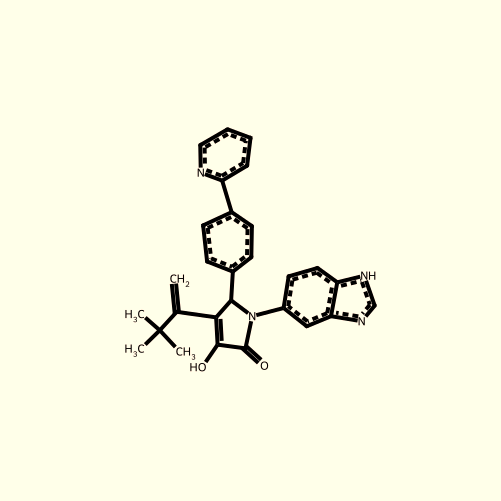 C=C(C1=C(O)C(=O)N(c2ccc3[nH]cnc3c2)C1c1ccc(-c2ccccn2)cc1)C(C)(C)C